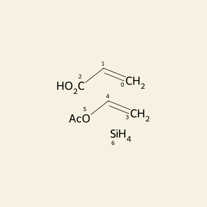 C=CC(=O)O.C=COC(C)=O.[SiH4]